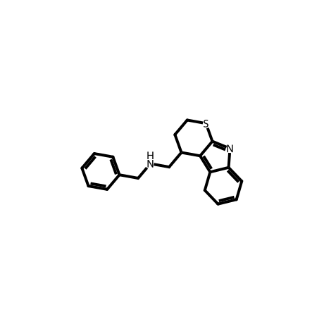 C1=CCC2=C3C(=NC2=C1)SCCC3CNCc1ccccc1